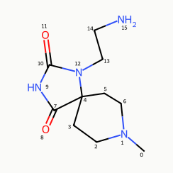 CN1CCC2(CC1)C(=O)NC(=O)N2CCN